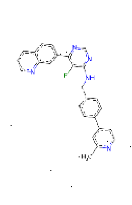 Cc1cc(-c2ccc(CNc3ncnc(-c4ccc5cccnc5c4)c3F)cc2)ccn1